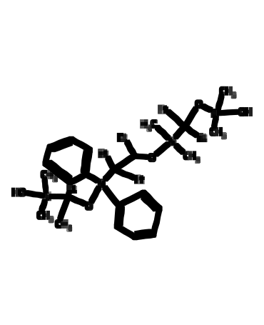 CCC(O[Si](C)(C)C(CC)(CC)O[Si](C)(C)O)C(CC)(CC)[Si](OC(C)(CC)[Si](C)(C)O)(c1ccccc1)c1ccccc1